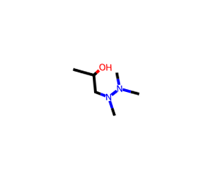 CC(O)CN(C)N(C)C